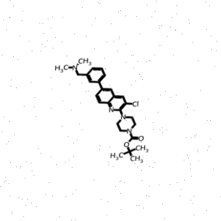 CN(C)Cc1cccc(-c2ccc3nc(N4CCN(C(=O)OC(C)(C)C)CC4)c(Cl)cc3c2)c1